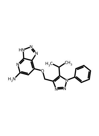 CC(C)c1c(COc2cc(N)nc3[nH]nnc23)nnn1-c1ccccc1